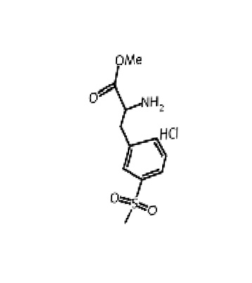 COC(=O)C(N)Cc1cccc(S(C)(=O)=O)c1.Cl